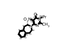 Cc1nc(N2CCc3ccccc3CC2)c([N+](=O)[O-])c(=O)n1C(C)C